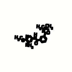 COc1ncc(NC(=O)c2cccc(C3=NC(C)(C)CO3)c2)cc1N